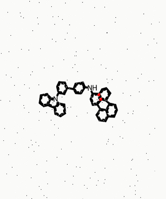 c1ccc(-c2cccc3cccc(-c4ccc(Nc5ccc(-c6cccc(-n7c8ccccc8c8ccccc87)c6)cc5)cc4)c23)cc1